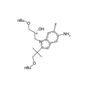 CCCCOC[C@H](O)Cn1c(C(C)(C)COCCCC)cc2cc(N)c(F)cc21